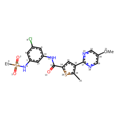 CCS(=O)(=O)Nc1cc(Cl)cc(NC(=O)c2cc(-c3ncc(OC)cn3)c(C)s2)c1